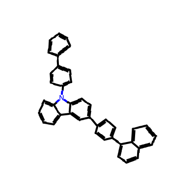 c1ccc(-c2ccc(-n3c4ccccc4c4cc(-c5ccc(-c6cccc7ccccc67)cc5)ccc43)cc2)cc1